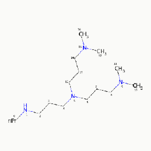 CCCNCCCN(CCCN(C)C)CCCN(C)C